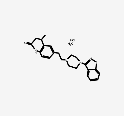 CC1CC(=O)Nc2ccc(CCN3CCN(c4nsc5ccccc45)CC3)cc21.Cl.O